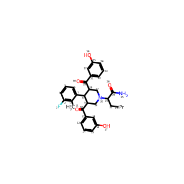 Cc1c(F)cccc1C1C(C(=O)c2cccc(O)c2)CN(C(CC(C)C)C(N)=O)CC1C(=O)c1cccc(O)c1